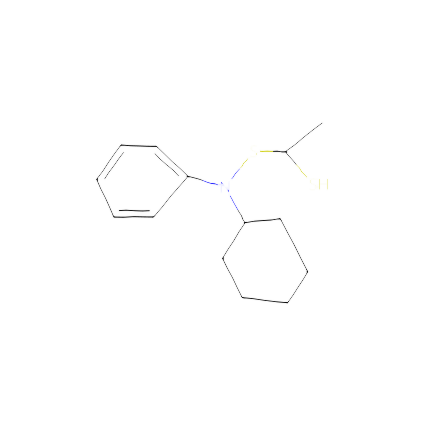 CC(S)SN(c1ccccc1)C1CCCCC1